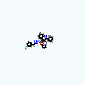 O=C(NCCCc1cccc(F)c1)c1c(C[N+]2([O-])CCCC2)c(-c2ccccc2)nc2ccccc12